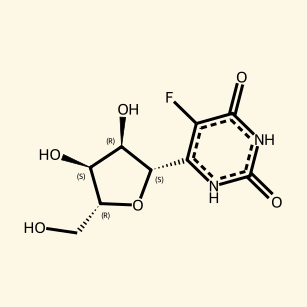 O=c1[nH]c([C@@H]2O[C@H](CO)[C@@H](O)[C@H]2O)c(F)c(=O)[nH]1